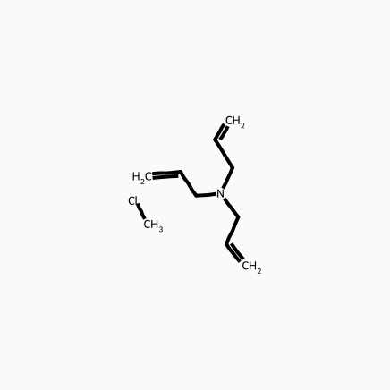 C=CCN(CC=C)CC=C.CCl